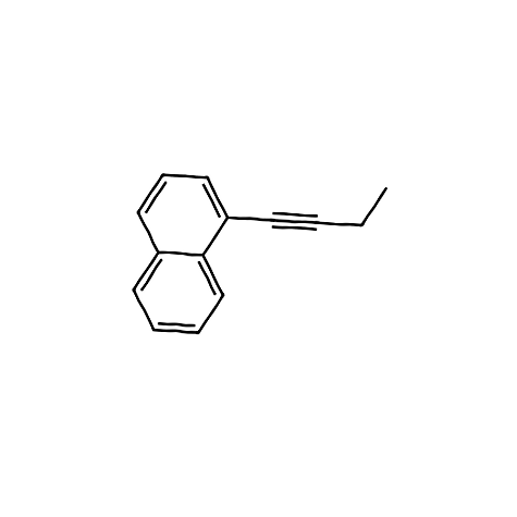 CCC#Cc1cccc2ccccc12